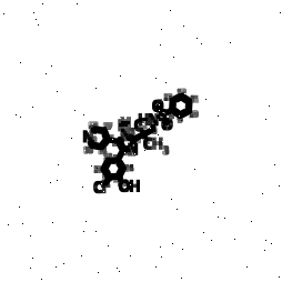 CC(C)(CNS(=O)(=O)c1ccccc1)c1nc(-c2ccc(Cl)c(O)c2)c(-c2ccncc2)[nH]1